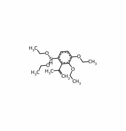 C=C(C)c1c([SiH](OCC)OCC)ccc(OCC)c1OCC